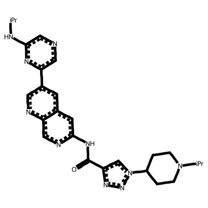 CC(C)Nc1cncc(-c2cnc3cnc(NC(=O)c4cn(C5CCN(C(C)C)CC5)nn4)cc3c2)n1